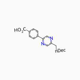 CCCCCCCCCCCc1cnc(-c2ccc(C(=O)O)cc2)cn1